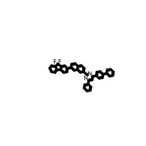 FC1(F)c2ccccc2-c2ccc(-c3ccc4ccc(-c5nc(-c6ccccc6)cc(-c6ccc(-c7ccccc7)cc6)n5)cc4c3)cc21